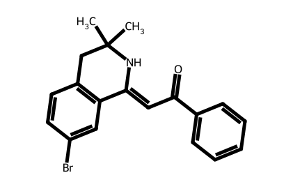 CC1(C)Cc2ccc(Br)cc2/C(=C/C(=O)c2ccccc2)N1